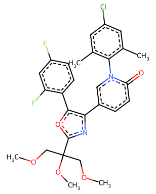 COCC(COC)(OC)c1nc(-c2ccc(=O)n(-c3c(C)cc(Cl)cc3C)c2)c(-c2ccc(F)cc2F)o1